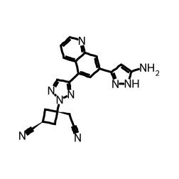 N#CC[C@]1(n2ncc(-c3cc(-c4cc(N)[nH]n4)cc4ncccc34)n2)C[C@H](C#N)C1